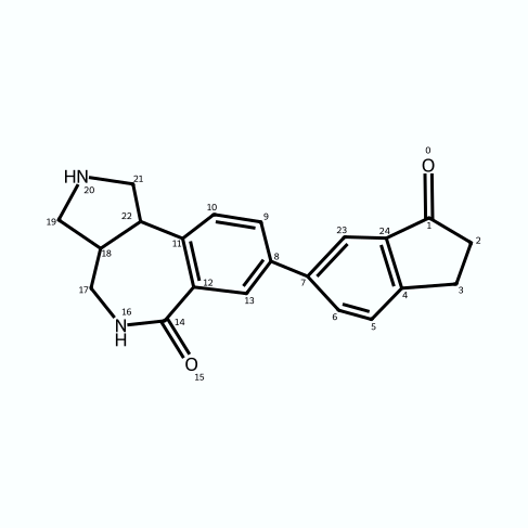 O=C1CCc2ccc(-c3ccc4c(c3)C(=O)NCC3CNCC43)cc21